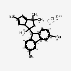 CCC1=CC2C(=C1)C(C)(C)CC2(C)C1c2ccc(C(C)(C)C)cc2-c2cc(C(C)(C)C)ccc21.[Cl-].[Cl-].[Zr+2]